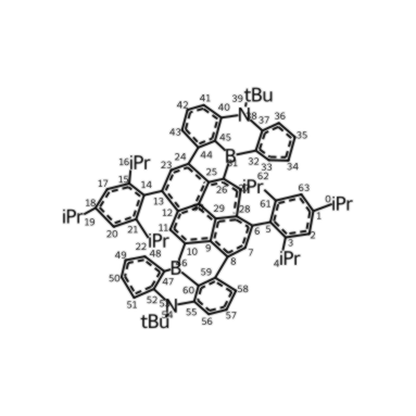 CC(C)c1cc(C(C)C)c(-c2cc3c4c(cc5c(-c6c(C(C)C)cc(C(C)C)cc6C(C)C)cc6c7c(cc2c4c57)B2c4ccccc4N(C(C)(C)C)c4cccc-6c42)B2c4ccccc4N(C(C)(C)C)c4cccc-3c42)c(C(C)C)c1